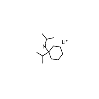 CC(C)[N-]C1(C(C)C)CCCCC1.[Li+]